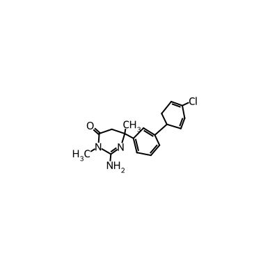 CN1C(=O)CC(C)(c2cccc(C3C=CC(Cl)=CC3)c2)N=C1N